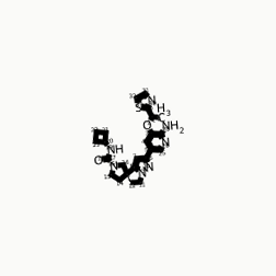 CC(Oc1cc(-c2cc3n(n2)CC[C@@]32CCN(C(=O)NC3CCC3)C2)cnc1N)c1nccs1